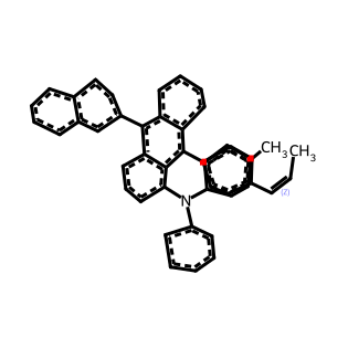 C/C=C\c1ccc(-c2c3ccccc3c(-c3ccc4ccccc4c3)c3cccc(N(c4ccccc4)c4ccccc4)c23)cc1C